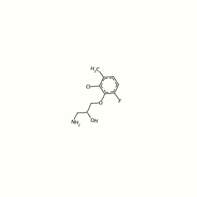 Cc1ccc(F)c(OCC(O)CN)c1Cl